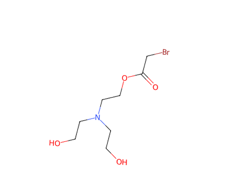 O=C(CBr)OCCN(CCO)CCO